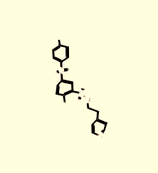 Cc1ccc(S(=O)(=O)c2ccc(F)cc2)cc1S(=O)(=O)NCCc1ccncc1